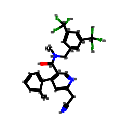 Cc1ccccc1-c1cc(CC#N)ncc1C(=O)N(C)Cc1cc(C(F)(F)F)cc(C(F)(F)F)c1